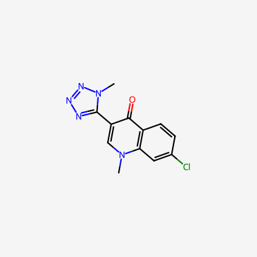 Cn1nnnc1-c1cn(C)c2cc(Cl)ccc2c1=O